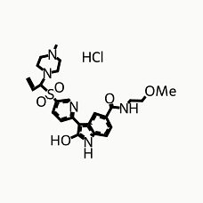 C=CC(N1CCN(C)CC1)S(=O)(=O)c1ccc(-c2c(O)[nH]c3ccc(C(=O)NCCOC)cc23)nc1.Cl